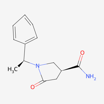 C[C@@H](c1ccccc1)N1C[C@@H](C(N)=O)CC1=O